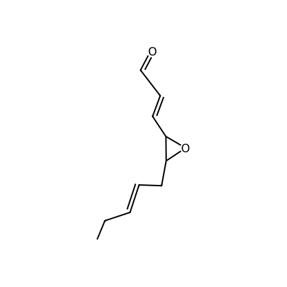 CCC=CCC1OC1C=CC=O